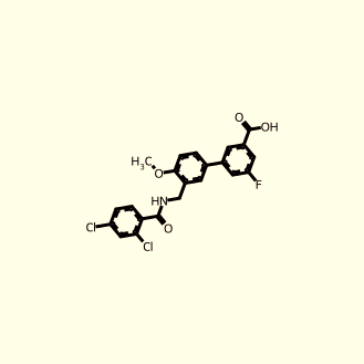 COc1ccc(-c2cc(F)cc(C(=O)O)c2)cc1CNC(=O)c1ccc(Cl)cc1Cl